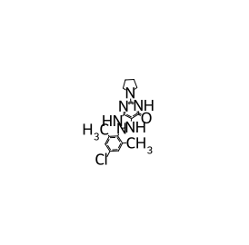 Cc1cc(Cl)cc(C)c1N1Nc2nc(N3CCCC3)[nH]c(=O)c2N1